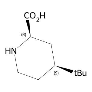 CC(C)(C)[C@H]1CCN[C@@H](C(=O)O)C1